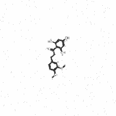 COc1ccc(CCC(=O)c2c(O)cc(O)cc2O)cc1OC